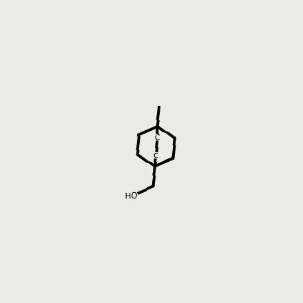 CC12CCC(CO)(CC1)CC2